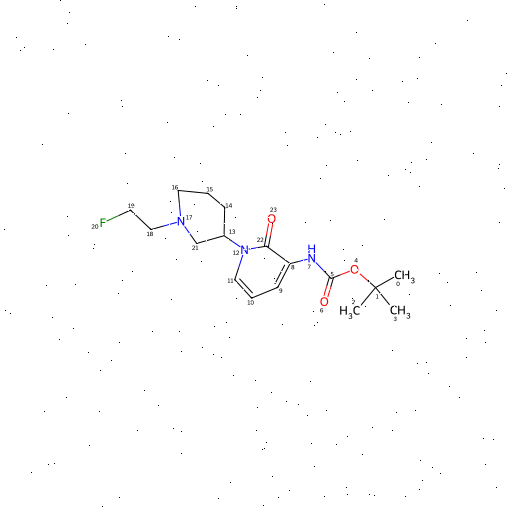 CC(C)(C)OC(=O)Nc1cccn(C2CCCN(CCF)C2)c1=O